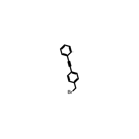 BrCc1ccc(C#Cc2[c]cccc2)cc1